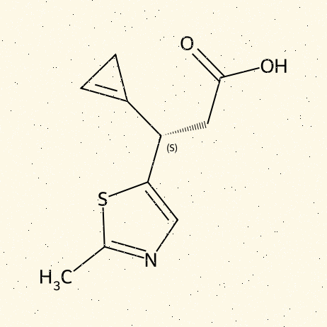 Cc1ncc([C@@H](CC(=O)O)C2=CC2)s1